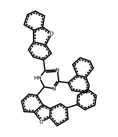 c1ccc(-c2ccc3oc4cccc(C5N=C(c6cccc7ccccc67)N=C(c6ccc7c(c6)oc6ccccc67)N5)c4c3c2)cc1